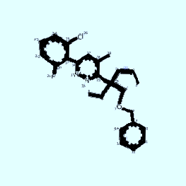 C/C=C\C(CC)(COCc1ccccc1)c1nnc(-c2c(F)cccc2Cl)cc1C